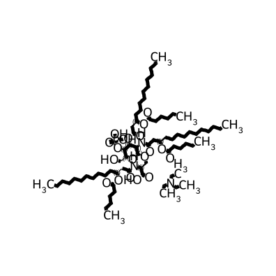 CCCCCCCCCCC[C@H](CC(=O)N[C@H]1[C@@H](OC[C@H](NC(=O)C[C@@H](CCCCCCCCCCC)OC(=O)CCCCC)C(=O)O)O[C@H](CO)[C@@H](OP(=O)(O)O)[C@@H]1OC(=O)C[C@@H](CCCCCCCCCCC)OC(=O)CCCCC)OC(=O)CCCCC.CCN(CC)CC